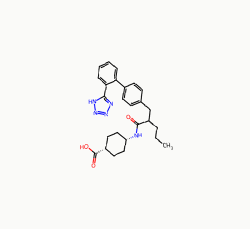 CCCC(Cc1ccc(-c2ccccc2-c2nnn[nH]2)cc1)C(=O)N[C@H]1CC[C@@H](C(=O)O)CC1